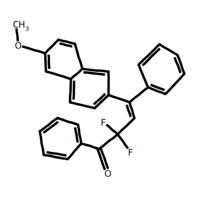 COc1ccc2cc(/C(=C\C(F)(F)C(=O)c3ccccc3)c3ccccc3)ccc2c1